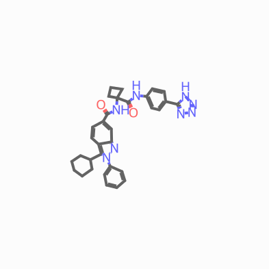 O=C(NC1(C(=O)Nc2ccc(-c3nnn[nH]3)cc2)CCC1)c1ccc2c(C3CCCCC3)n(-c3ccccc3)nc2c1